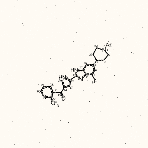 CC(=O)N1CCC(c2cc(F)c3nc(-c4cc(C(=O)c5cccnc5C(F)(F)F)c[nH]4)[nH]c3c2)CC1